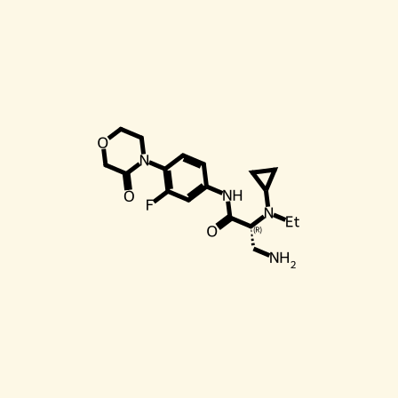 CCN(C1CC1)[C@H](CN)C(=O)Nc1ccc(N2CCOCC2=O)c(F)c1